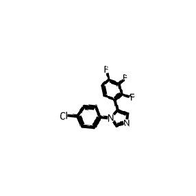 Fc1ccc(-c2cncn2-c2ccc(Cl)cc2)c(F)c1F